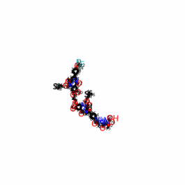 COc1cc2c(cc1OCCCOc1cc3c(cc1OC)C(=O)N1C=C(c4ccc(OC(F)(F)F)cc4)C[C@H]1C(=O)N3COCC[Si](C)(C)C)N(COCC[Si](C)(C)C)C(=O)[C@@H]1CC(c3ccc(NC(=O)[C@H](C)NC(=O)[C@@H](NC(=O)O)C(C)C)cc3)=CN1C2=O